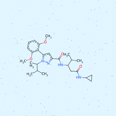 COc1cccc(OC)c1-c1cc(C(=O)NC(CC(=O)NC2CC2)C(C)C)nn1C(C)C(C)C